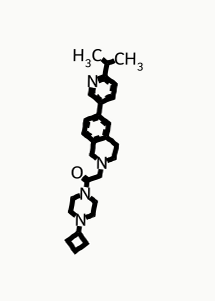 CC(C)c1ccc(-c2ccc3c(c2)CCN(CC(=O)N2CCN(C4CCC4)CC2)C3)cn1